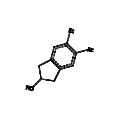 CCc1cc2c(cc1C(C)=O)CC(O)C2